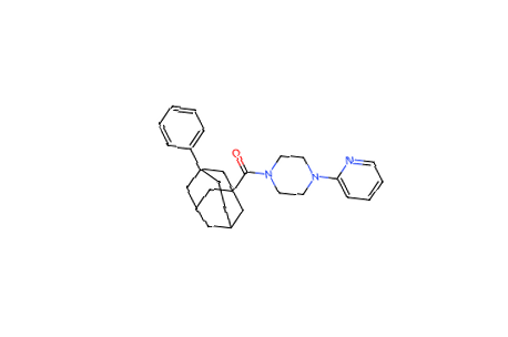 O=C(N1CCN(c2ccccn2)CC1)C12CC3CC(C1)CC(c1ccccc1)(C3)C2